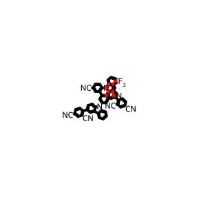 N#Cc1ccc(-c2ccc3c(c2)c2ccccc2n3-c2ccc(-c3ccc(C(F)(F)F)cc3C#N)c(-c3cc(C#N)ccc3-n3c4ccccc4c4cc(-c5ccc(C#N)cc5C#N)ccc43)c2)c(C#N)c1